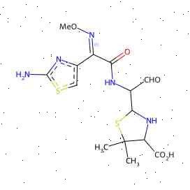 CO/N=C(/C(=O)NC(C=O)C1NC(C(=O)O)C(C)(C)S1)c1csc(N)n1